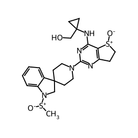 C[S+]([O-])N1CC2(CCN(c3nc4c(c(NC5(CO)CC5)n3)[S+]([O-])CC4)CC2)c2ccccc21